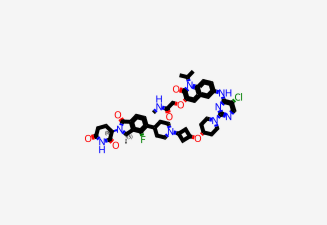 CNC(=O)COc1cc2cc(Nc3nc(N4CCC(OC5CC(N6CCC(c7ccc8c(c7F)[C@H](C)N([C@@H]7CCC(=O)NC7=O)C8=O)CC6)C5)CC4)ncc3Cl)ccc2n(C(C)C)c1=O